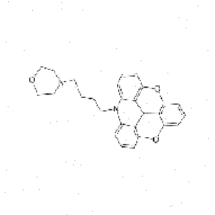 c1cc2c3c(c1)Oc1cccc4c1C3c1c(cccc1N4CCCCN1CCOCC1)O2